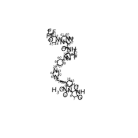 Cn1c(=O)n(C2CCC(=O)NC2=O)c2cccc(C#CCN3CCN(C[C@H]4CC[C@H](n5cc(NC(=O)c6cnn7ccc(N8CCOC(C(F)(F)F)C8)nc67)c(C(F)F)n5)CC4)CC3)c21